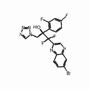 OC(Cn1cnnn1)(c1ccc(F)cc1F)C(F)(F)c1cnc2cc(Br)ccc2n1